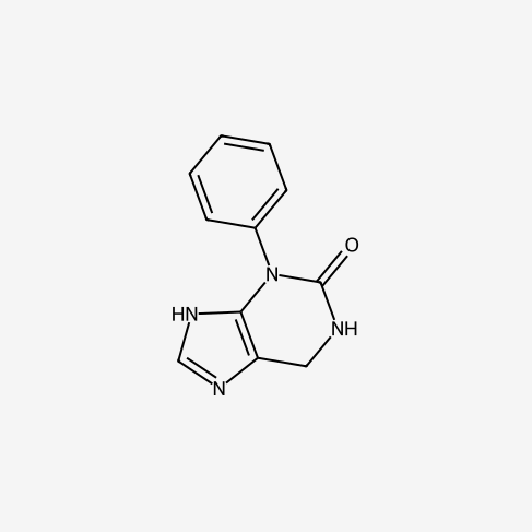 O=C1NCc2nc[nH]c2N1c1ccccc1